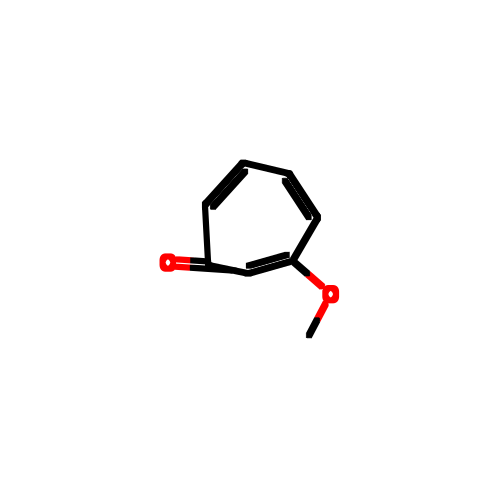 COc1ccccc(=O)c1